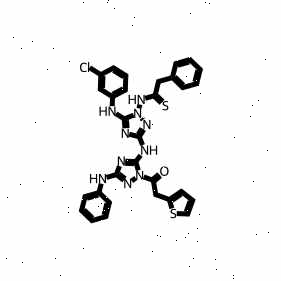 O=C(Cc1cccs1)n1nc(Nc2ccccc2)nc1Nc1nc(Nc2cccc(Cl)c2)n(NC(=S)Cc2ccccc2)n1